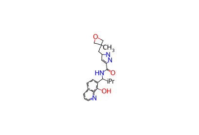 CC(C)C(NC(=O)C1=CC(CC2(C)COC2)N=N1)c1ccc2cccnc2c1O